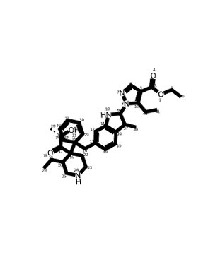 CCOC(=O)c1cnn(C2Nc3cc(CC4(C5(C(=O)[C@H](C)O)CCNCC5CC)C=CC=CC4)ccc3C2C)c1CC